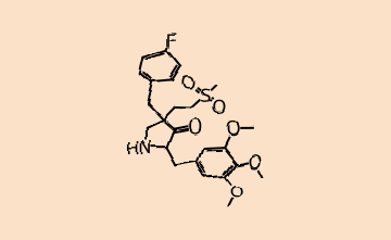 COc1cc(CC2NCC(CCS(C)(=O)=O)(Cc3ccc(F)cc3)C2=O)cc(OC)c1OC